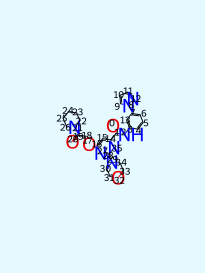 O=C(Nc1cccc(-n2cccn2)c1)c1cc(OCC(=O)N2CCCCC2)nc(N2CCOCC2)n1